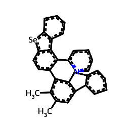 Cc1cc2c(c(-c3ccc4[se]c5ccccc5c4c3-c3ccccn3)c1C)Cc1ccccc1-2